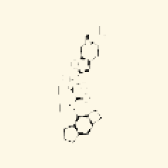 CN1CCc2cc(S(=O)(=O)NC(=O)Nc3c4c(cc5c3CC5)CCC4)oc2C1